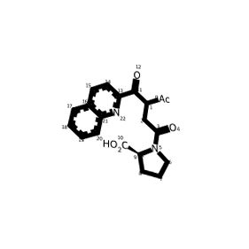 CC(=O)C(CC(=O)N1CCC[C@H]1C(=O)O)C(=O)c1ccc2ccccc2n1